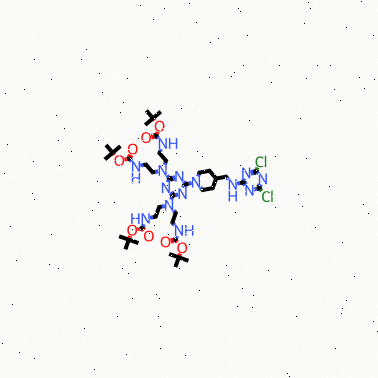 CC(C)(C)OC(=O)NCCN(CCNC(=O)OC(C)(C)C)c1nc(N(CCNC(=O)OC(C)(C)C)CCNC(=O)OC(C)(C)C)nc(N2CCC(CNc3nc(Cl)nc(Cl)n3)CC2)n1